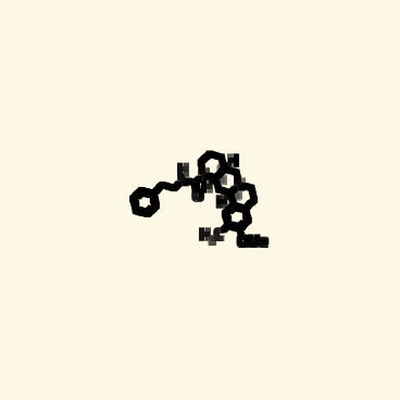 COc1cc2c(cc1C)[C@@H]1C[C@H]3[C@H](CCCN3C(=O)NCCc3ccccc3)CN1CC2